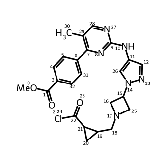 COC(=O)c1ccc(-c2nc(Nc3cnn(C4CN(CC5CC5C(=O)Cl)C4)c3)ncc2C)cc1